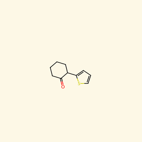 O=C1CCCCC1c1cccs1